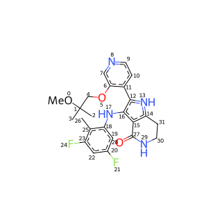 COC(C)(C)COc1cnccc1-c1[nH]c2c(c1Nc1cc(F)cc(F)c1C)C(=O)NCC2